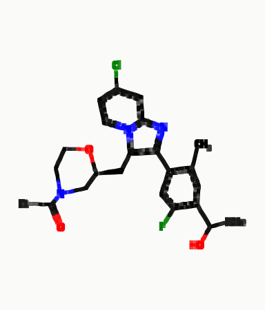 CCC(=O)N1CCO[C@@H](Cc2c(-c3cc(F)c(C(O)NC)cc3C)nc3cc(Cl)ccn23)C1